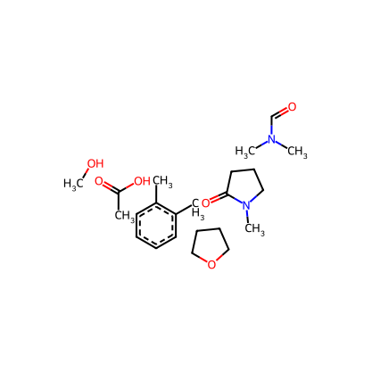 C1CCOC1.CC(=O)O.CN(C)C=O.CN1CCCC1=O.CO.Cc1ccccc1C